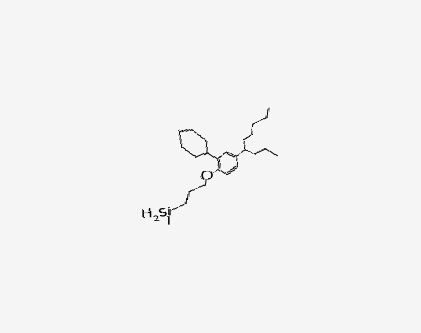 CCCCCC(CCC)c1ccc(OCCC[SiH2]I)c(C2CCCCC2)c1